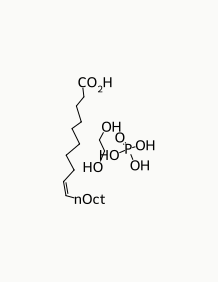 CCCCCCCC/C=C\CCCCCCCC(=O)O.O=P(O)(O)O.OCCO